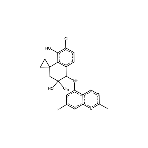 Cc1ncc2c(NC3c4ccc(Cl)c(O)c4C4(CC4)CC3(O)C(F)(F)F)cc(F)cc2n1